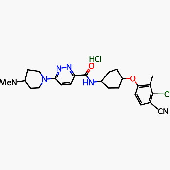 CNC1CCN(c2ccc(C(=O)NC3CCC(Oc4ccc(C#N)c(Cl)c4C)CC3)nn2)CC1.Cl